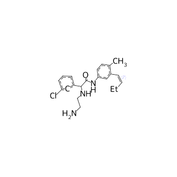 CC/C=C\c1cc(NC(=O)C(NCCN)c2cccc(Cl)c2)ccc1C